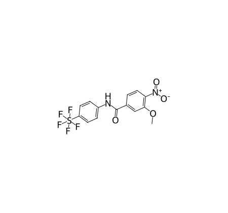 COc1cc(C(=O)Nc2ccc(S(F)(F)(F)(F)F)cc2)ccc1[N+](=O)[O-]